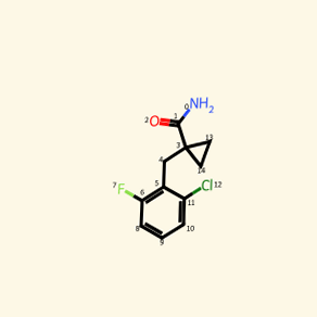 NC(=O)C1(Cc2c(F)cccc2Cl)CC1